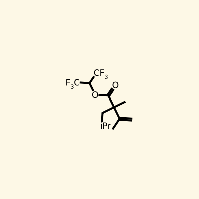 C=C(C)C(C)(CC(C)C)C(=O)OC(C(F)(F)F)C(F)(F)F